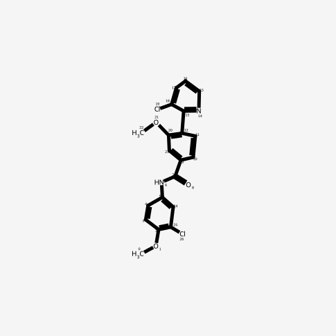 COc1ccc(NC(=O)c2ccc(-c3ncccc3Cl)c(OC)c2)cc1Cl